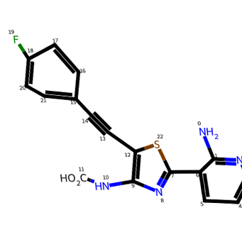 Nc1ncccc1-c1nc(NC(=O)O)c(C#Cc2ccc(F)cc2)s1